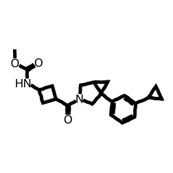 COC(=O)NC1CC(C(=O)N2CC3CC3(c3cccc(C4CC4)c3)C2)C1